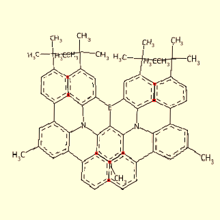 Cc1cc(-c2ccccc2)c(N2c3ccc(C(C)(C)C)cc3B3c4cc(C(C)(C)C)ccc4N(c4c(-c5ccccc5)cc(C)cc4-c4ccc(C(C)(C)C)cc4)c4cc(C)cc2c43)c(-c2ccc(C(C)(C)C)cc2)c1